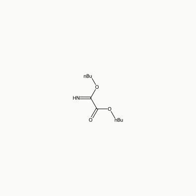 CCCCOC(=N)C(=O)OCCCC